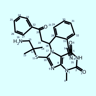 Cn1c(=O)[nH]c(=O)c2c1nc(SC(C)(C)CN)n2C(CC(=O)c1ccccc1)c1ccccc1C#N